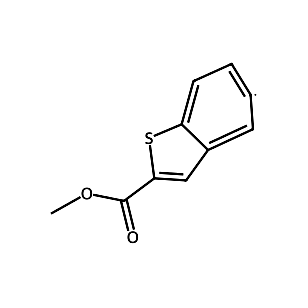 COC(=O)c1cc2c[c]ccc2s1